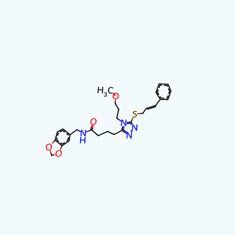 COCCCn1c(CCCC(=O)NCc2ccc3c(c2)OCO3)nnc1SCC=Cc1ccccc1